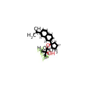 C=C(C)c1ccc2ccc(C3(OC(C)(C)C(O)(C(F)(F)F)C(F)(F)F)CCCC3)cc2c1